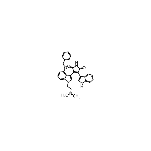 CN(C)CCn1cc(C2=C(c3c[nH]c4ccccc34)C(=O)NC2=O)c2c(OCc3ccccc3)cccc21